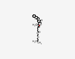 CC[C@@]1(OC(=O)CCCC(=O)OCCOCCC(C)C)C(=O)OCc2c1cc1n(c2=O)Cc2cc3ccccc3nc2-1